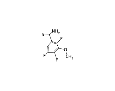 COc1c(F)c(F)cc(C(N)=S)c1F